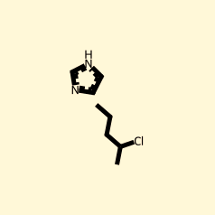 CCCC(C)Cl.c1c[nH]cn1